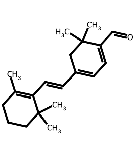 CC1=C(C=CC2=CC=C(C=O)C(C)(C)C2)C(C)(C)CCC1